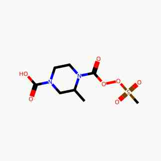 CC1CN(C(=O)O)CCN1C(=O)OOS(C)(=O)=O